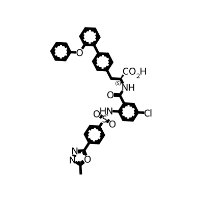 Cc1nnc(-c2ccc(S(=O)(=O)Nc3ccc(Cl)cc3C(=O)N[C@@H](Cc3ccc(-c4ccccc4Oc4ccccc4)cc3)C(=O)O)cc2)o1